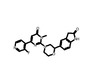 Cn1c(N2CCOC(c3ccc4c(c3)CC(=O)N4)C2)nc(-c2ccncc2F)cc1=O